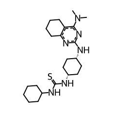 CN(C)c1nc(N[C@H]2CC[C@@H](NC(=S)NC3CCCCC3)CC2)nc2c1CCCC2